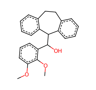 COc1cccc(C(O)C2c3ccccc3CCc3ccccc32)c1OC